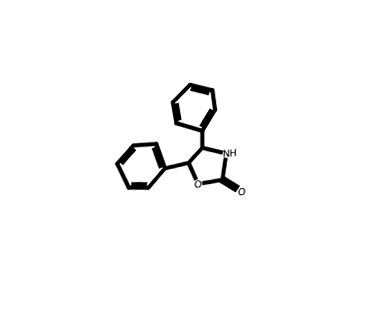 O=C1NC(c2ccccc2)C(c2ccccc2)O1